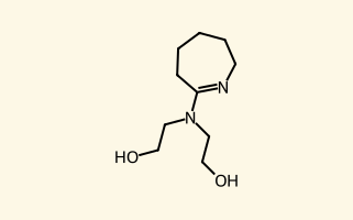 OCCN(CCO)C1=NCCCCC1